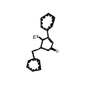 CCC1C(c2ccccc2)=CC(=O)CC1Cc1ccccc1